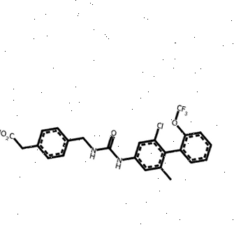 Cc1cc(NC(=O)NCc2ccc(CC(=O)O)cc2)cc(Cl)c1-c1ccccc1OC(F)(F)F